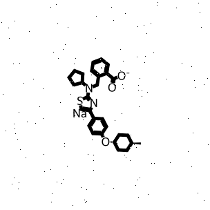 C[C@H]1CC[C@H](Oc2ccc(-c3csc(N(Cc4ccccc4C(=O)[O-])C4CCCC4)n3)cc2)CC1.[Na+]